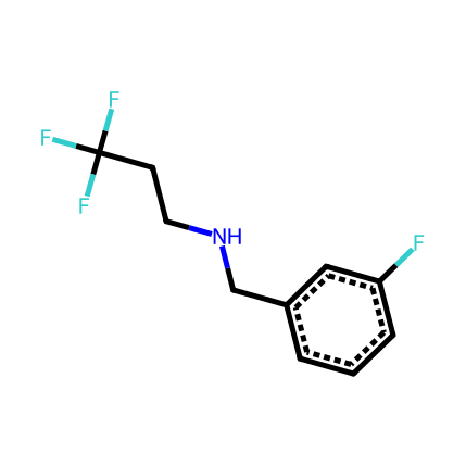 Fc1cccc(CNCCC(F)(F)F)c1